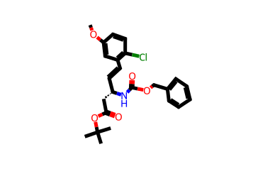 COc1ccc(Cl)c(/C=C/[C@@H](CC(=O)OC(C)(C)C)NC(=O)OCc2ccccc2)c1